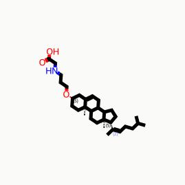 C/C(=C/CCC(C)C)[C@H]1CCC2C3CC=C4C[C@@H](OCCCNCC(=O)O)CC[C@]4(C)C3CC[C@@]21C